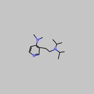 CC(C)N(CCc1cnccc1N(C)C)C(C)C